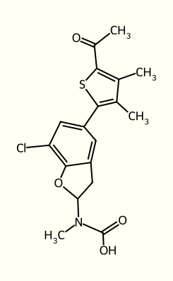 CC(=O)c1sc(-c2cc(Cl)c3c(c2)CC(N(C)C(=O)O)O3)c(C)c1C